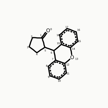 O=C1CCCC1C1c2ccccc2Oc2ccccc21